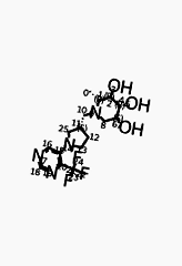 C[C@@H]1[C@@H](O)[C@H](O)[C@@H](O)CN1C[C@@H]1CCN(c2cncnc2C(F)(F)F)C1